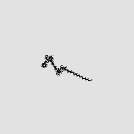 CCCCCCCCCCCCCCCCCCN(C)C(=O)OCC(C)(COCCCCCCCn1cncc1C(C=O)OCc1ccccc1)OC